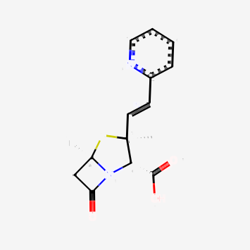 C[C@@]1(/C=C/c2ccccn2)S[C@@H]2CC(=O)N2[C@H]1C(=O)O